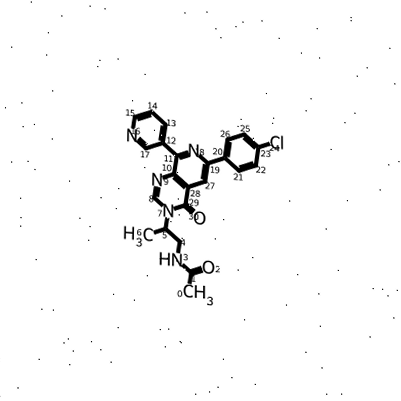 CC(=O)NCC(C)n1cnc2c(-c3cccnc3)nc(-c3ccc(Cl)cc3)cc2c1=O